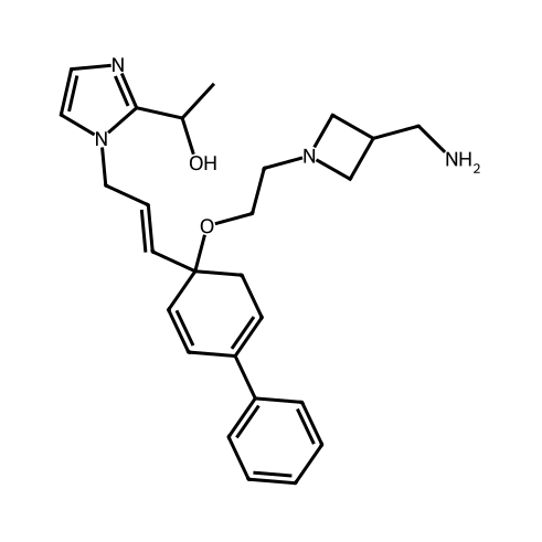 CC(O)c1nccn1C/C=C/C1(OCCN2CC(CN)C2)C=CC(c2ccccc2)=CC1